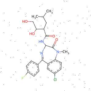 CC(C)CC(C(=O)NC1N=C(c2ccc(F)cc2)c2cc(Cl)ccc2N(C)C1=O)C(O)CO